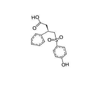 O=C(O)C[C@@H](CS(=O)(=O)c1ccc(O)cc1)c1ccccc1